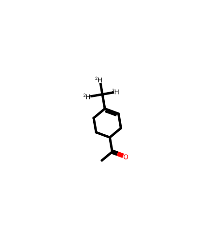 [2H]C([2H])([2H])C1=CCC(C(C)=O)CC1